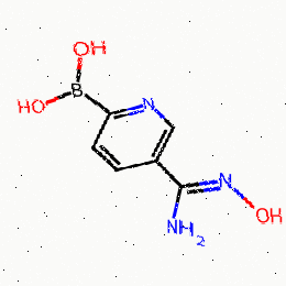 N/C(=N\O)c1ccc(B(O)O)nc1